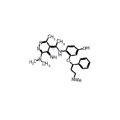 CNCCC(Oc1cc(O)ccc1N/C(C)=C1\C(=N)C(N(C)C)=NN=C1C)c1ccccc1